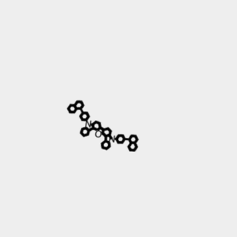 c1ccc2c(-c3ccc(-n4c5ccccc5c5c6oc7c(ccc8c7c7ccccc7n8-c7ccc(-c8cccc9ccccc89)cc7)c6ccc54)cc3)cccc2c1